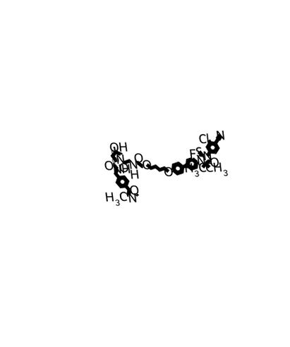 Cc1ncoc1-c1ccc(CNC(=O)[C@@H]2C[C@@H](O)CN2C(=O)CNC(=O)COCCCCOc2ccc(-c3ccc(N4C(=S)N(c5ccc(C#N)c(Cl)c5)C(=O)C4(C)C)c(F)c3)cc2)cc1